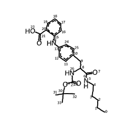 CCCCCNC(=O)C(Cc1ccc(Nc2ccccc2C(=O)O)cc1)NC(=O)OC(C)(C)C